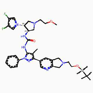 COCCN1C[C@@H](n2cc(F)c(F)c2)[C@H](NC(=O)Nc2c(C)c(-c3cnc4c(c3)CN(CCO[Si](C)(C)C(C)(C)C)C4)nn2-c2ccccc2)C1